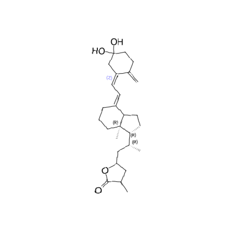 C=C1CCC(O)(O)C/C1=C/C=C1CCC[C@@]2(C)C1CC[C@@H]2[C@H](C)CC1CC(C)C(=O)O1